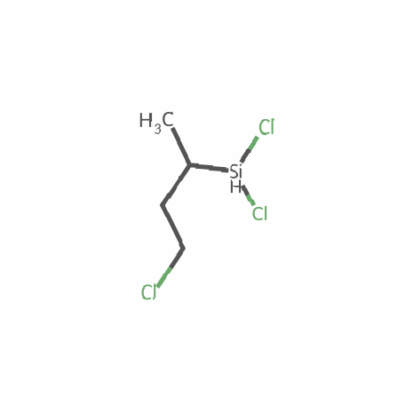 CC(CCCl)[SiH](Cl)Cl